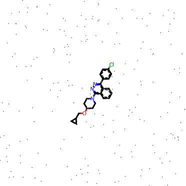 Clc1ccc(-c2nnc(N3CCC(OCC4CC4)CC3)c3ccccc23)cc1